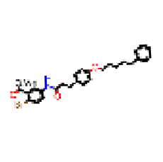 COC(=O)c1cc(NC(=O)CCc2ccc(OCCCCCc3ccccc3)cc2)ccc1Br